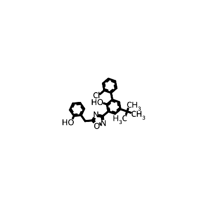 CC(C)(C)c1cc(-c2noc(Cc3ccccc3O)n2)c(O)c(-c2ccccc2Cl)c1